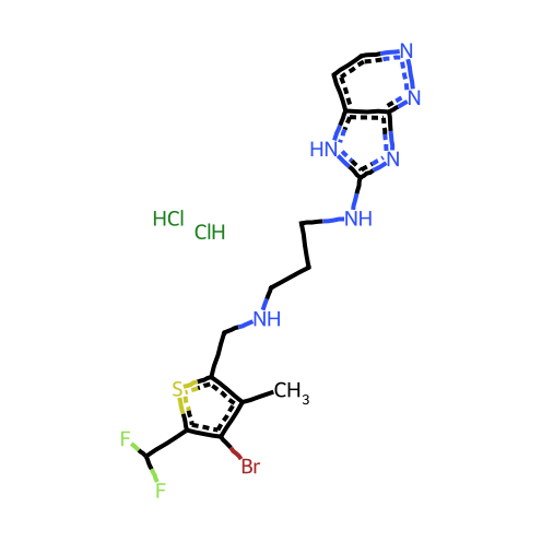 Cc1c(CNCCCNc2nc3nnccc3[nH]2)sc(C(F)F)c1Br.Cl.Cl